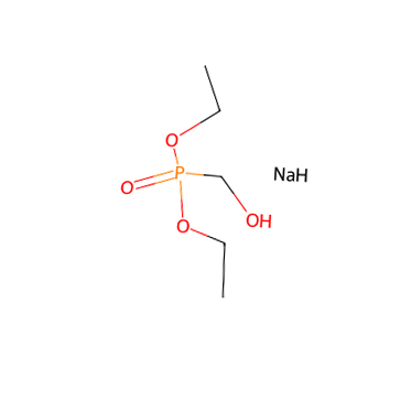 CCOP(=O)(CO)OCC.[NaH]